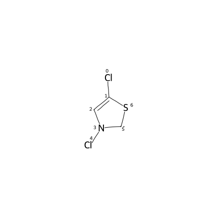 ClC1=CN(Cl)[CH]S1